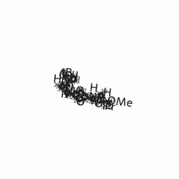 COC(=O)N[C@H](C(=O)N1C[C@@H](C)C[C@H]1c1ncc(-c2cc3c4c(c2)OCc2cc(-c5cnc([C@@H]6C[C@H](C)CN6C(=O)[C@H](NC(=O)OC(C)(C)C)c6ccccc6)[nH]5)cc(c2-4)OC3)[nH]1)C(C)C